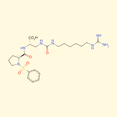 N=C(N)NCCCCCCNC(=O)NC[C@H](NC(=O)[C@@H]1CCCN1S(=O)(=O)c1ccccc1)C(=O)O